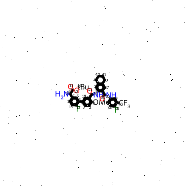 COc1ccc(-c2cc(C(N)C(=O)OC(C)(C)C)ccc2F)cc1C(=O)Nc1cc2c(cc1C(=O)Nc1ccc(F)c(C(F)(F)F)c1)CCCC2